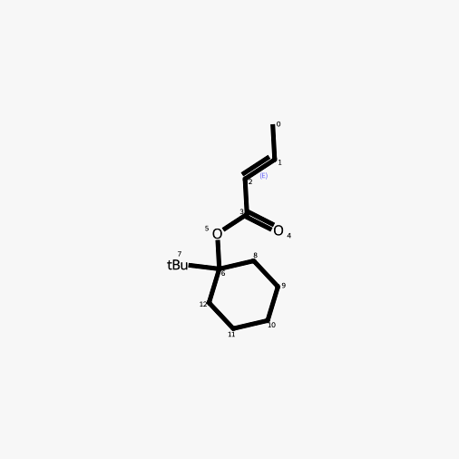 C/C=C/C(=O)OC1(C(C)(C)C)CCCCC1